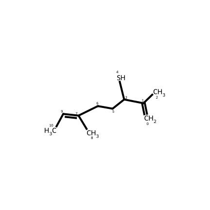 C=C(C)C(S)CC/C(C)=C/C